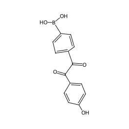 O=C(C(=O)c1ccc(B(O)O)cc1)c1ccc(O)cc1